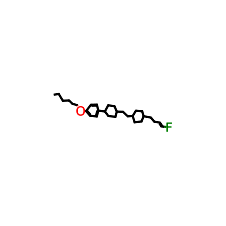 CCCCCCOc1ccc(C2CCC(CCC3CCC(CC/C=C/F)CC3)CC2)cc1